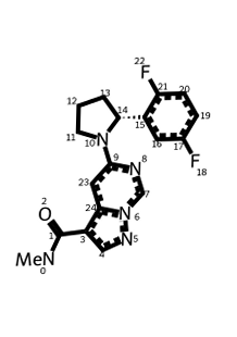 CNC(=O)c1cnn2cnc(N3CCC[C@@H]3c3cc(F)ccc3F)cc12